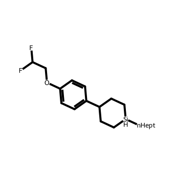 CCCCCCC[SiH]1CCC(c2ccc(OCC(F)F)cc2)CC1